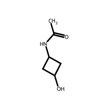 CC(=O)NC1CC(O)C1